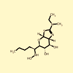 CCCC[C@H](NO)[C@H]1O[C@@H]2SC(N(C)CC)=N[C@@H]2[C@@H](O)[C@@H]1O